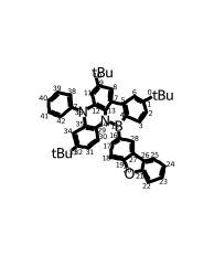 CC(C)(C)c1ccc2c(c1)-c1cc(C(C)(C)C)cc3c1N(B2c1ccc2oc4ccccc4c2c1)c1ccc(C(C)(C)C)cc1N3c1ccccc1